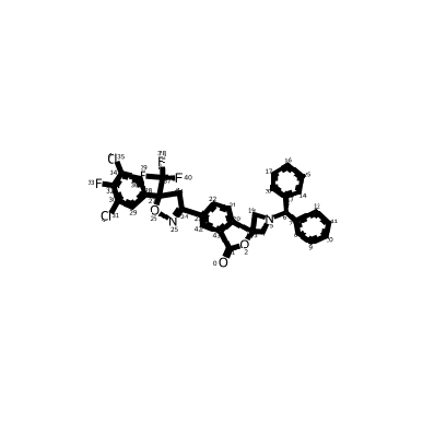 O=C1OC2(CN(C(c3ccccc3)c3ccccc3)C2)c2ccc(C3=NOC(c4cc(Cl)c(F)c(Cl)c4)(C(F)(F)F)C3)cc21